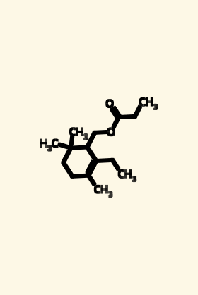 CCC(=O)OCC1C(CC)=C(C)CCC1(C)C